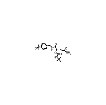 CC(C)(C)NC(=O)O[C@@H](CCC(N)=O)C(=O)NCc1ccc(P(C)(C)=O)cc1